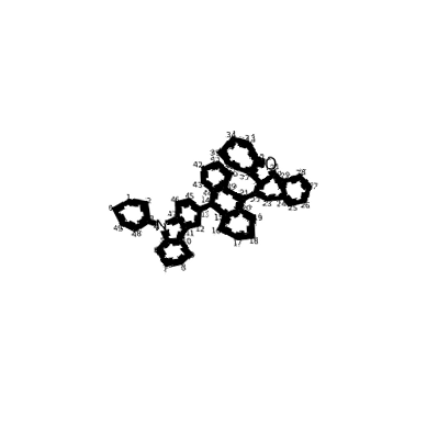 c1ccc(-n2c3ccccc3c3cc(-c4c5ccccc5c(-c5cc6ccccc6c6oc7ccccc7c56)c5ccccc45)ccc32)cc1